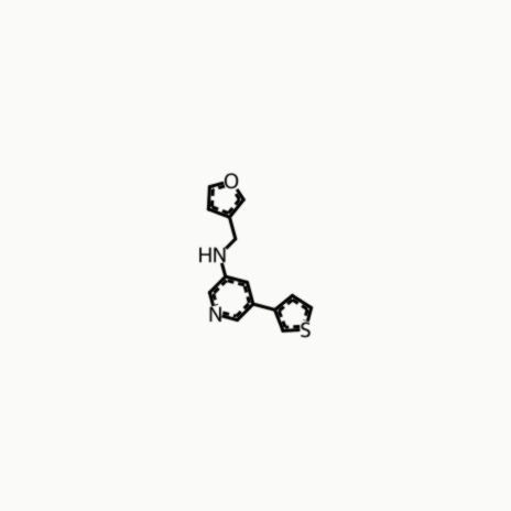 c1cc(CNc2cncc(-c3ccsc3)c2)co1